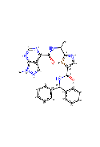 CC(NC(=O)c1ncnc2c1cnn2C)c1ncc(C(=O)NC(c2ccccc2)c2ccccc2)s1